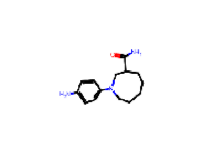 NC(=O)C1CCCCCN(c2ccc(N)cc2)C1